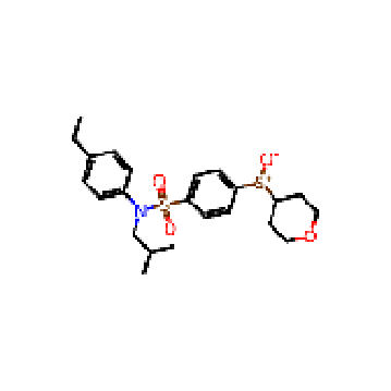 CCc1ccc(N(CC(C)C)S(=O)(=O)c2ccc([S+]([O-])C3CCOCC3)cc2)cc1